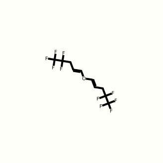 FC(F)(F)C(F)(F)CC=COC=CCC(F)(F)C(F)(F)F